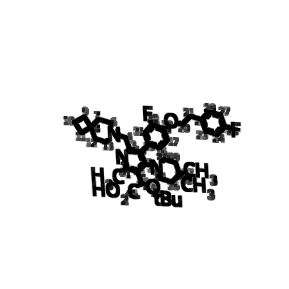 Cc1nc(CN2CCC3(CCC3)CC2)c(-c2ccc(OCCc3ccc(F)cc3)c(F)c2)c(N2CCC(C)(C)CC2)c1C(OC(C)(C)C)C(=O)O